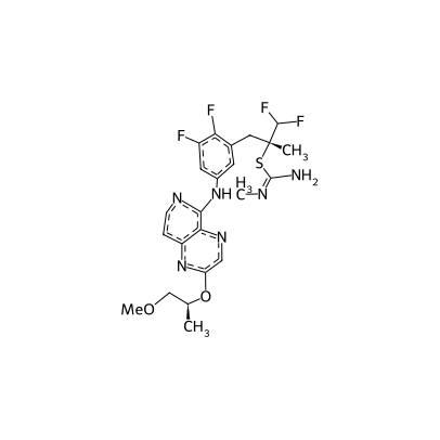 C/N=C(/N)S[C@](C)(Cc1cc(Nc2nccc3nc(O[C@@H](C)COC)cnc23)cc(F)c1F)C(F)F